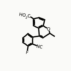 [C-]#[N+]c1c(F)cccc1C1=CC(C)Oc2ccc(C(=O)O)cc21